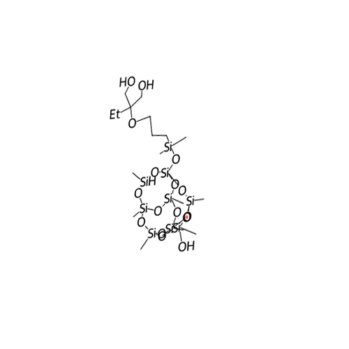 CCC(CO)(CO)OCCC[Si](C)(C)O[Si]12O[SiH](C)O[Si]3(C)O[Si]4(C)O[Si](C)(O)O[Si](C)(O[Si](C)(O4)O[Si](C)(O3)O1)O2